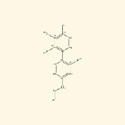 CCOc1ccc(-c2ccc(C)c(F)c2F)c(F)c1